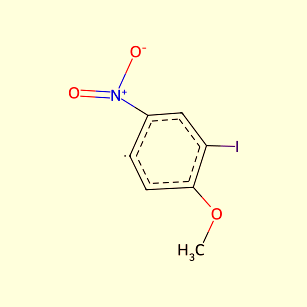 COc1c[c]c([N+](=O)[O-])cc1I